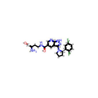 NC(=C=O)CCNC(=O)c1cnc2[nH]nc(N3CCC[C@@H]3c3cc(F)ccc3F)c2c1